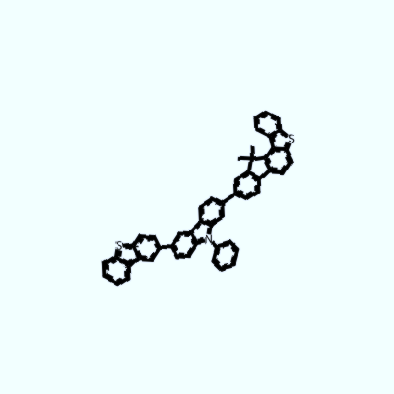 CC1(C)c2cc(-c3ccc4c5cc(-c6ccc7sc8ccccc8c7c6)ccc5n(-c5ccccc5)c4c3)ccc2-c2ccc3sc4ccccc4c3c21